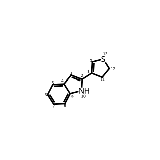 C1=C(c2cc3ccccc3[nH]2)CCS1